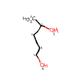 O=C(O)C(O)CCCO